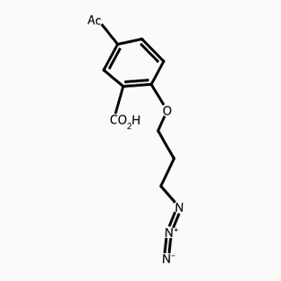 CC(=O)c1ccc(OCCCN=[N+]=[N-])c(C(=O)O)c1